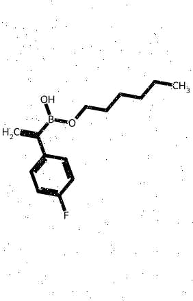 C=C(B(O)OCCCCCC)c1ccc(F)cc1